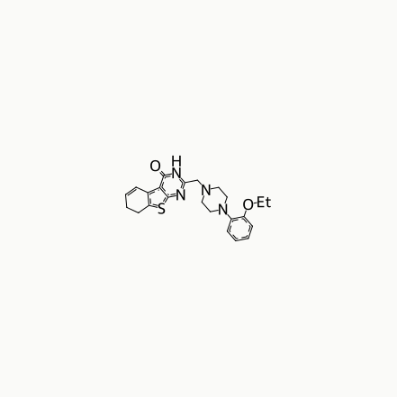 CCOc1ccccc1N1CCN(Cc2nc3sc4c(c3c(=O)[nH]2)C=CCC4)CC1